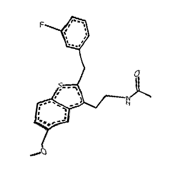 COc1ccc2sc(Cc3cccc(F)c3)c(CCNC(C)=O)c2c1